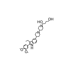 CCc1c(-c2ccc(OC)c(OC)c2)[nH]c2ccc(C3CCN(C4CCN(C(O)CCCO)CC4)CC3)cc12